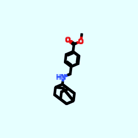 COC(=O)c1ccc(CNC2C3CC4CC(C3)CC2C4)cc1